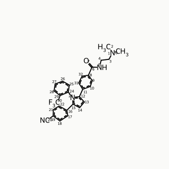 CN(C)CCNC(=O)c1ccc(-c2ccc(-c3ccc(C#N)cc3)n2-c2ccccc2C(F)(F)F)cc1